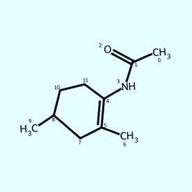 CC(=O)NC1=C(C)CC(C)CC1